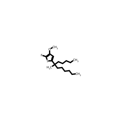 CCCCCCC(C)(CCCCC)c1cc(OC)c(F)s1